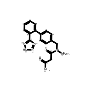 CCCCCN(Cc1ccc(-c2ccccc2-c2nn[nH]n2)cc1)C(=O)[CH]C(N)=O